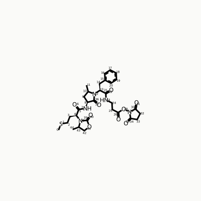 CSCC[C@@H](C(=O)N[C@H]1CC(C)N([C@@H](Cc2ccccc2)C(=O)NCCC(=O)ON2C(=O)CCC2=O)C1=O)N1C(=O)OCC1C